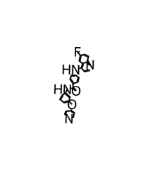 O=C(Nc1cccc(Oc2ccncc2)c1)c1ccc(Nc2ccnc3ccc(F)cc23)cc1